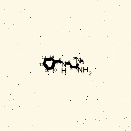 CN(C)C(N)CCNCc1ccccc1